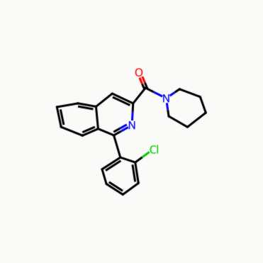 O=C(c1cc2ccccc2c(-c2ccccc2Cl)n1)N1CCCCC1